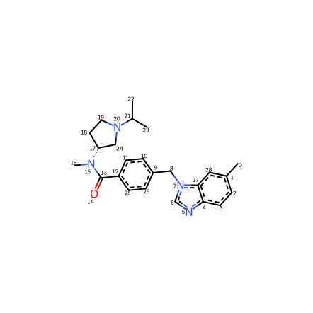 Cc1ccc2ncn(Cc3ccc(C(=O)N(C)[C@@H]4CCN(C(C)C)C4)cc3)c2c1